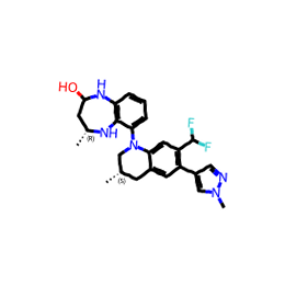 C[C@H]1Cc2cc(-c3cnn(C)c3)c(C(F)F)cc2N(c2cccc3c2N[C@H](C)CC(O)N3)C1